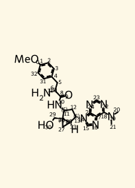 COc1ccc(C[C@H](N)C(=O)N[C@H]2C[C@H](n3cnc4c(N(C)C)ncnc43)[C@H]3C[C@]23CO)cc1